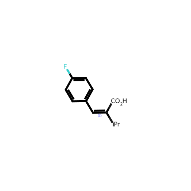 CC(C)/C(=C/c1ccc(F)cc1)C(=O)O